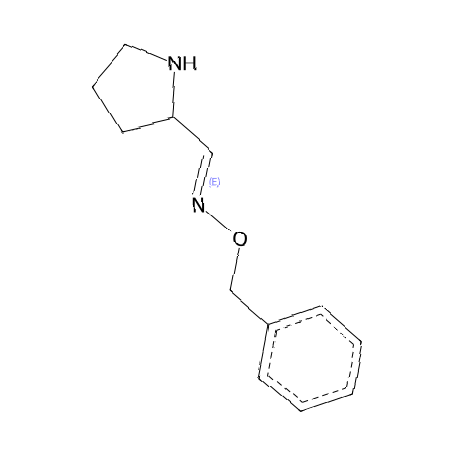 C(=N\OCc1ccccc1)/C1CCCN1